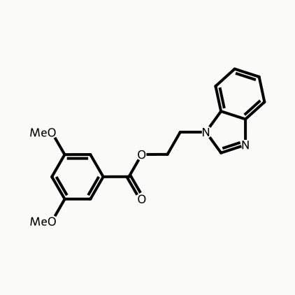 COc1cc(OC)cc(C(=O)OCCn2cnc3ccccc32)c1